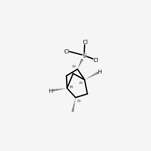 C[C@H]1C[C@H]2C[C@@H]1C[C@@H]2[Si](Cl)(Cl)Cl